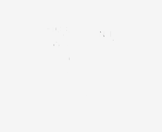 CCOC(=O)C(CCN)C(=O)OCC1c2ccccc2-c2ccccc21